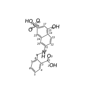 O=C(O)c1ccccc1CNc1ccc2c(O)cc(S(=O)(=O)O)cc2c1